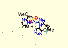 COc1ncnc(OC)c1-n1c(NS(=O)(=O)[C@@H](C)[C@H](OC)c2ncc(Cl)cn2)nnc1[C@H]1C[C@@H]1F